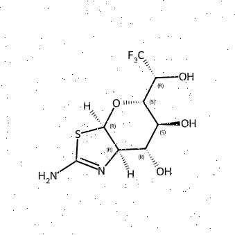 NC1=N[C@@H]2[C@@H](O)[C@H](O)[C@@H]([C@@H](O)C(F)(F)F)O[C@@H]2S1